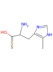 Cc1[nH]cnc1CC(N)C(O)=S